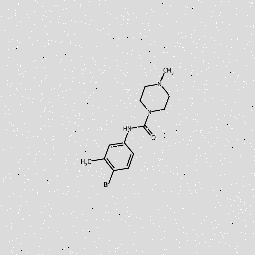 Cc1cc(NC(=O)N2CCN(C)CC2)ccc1Br